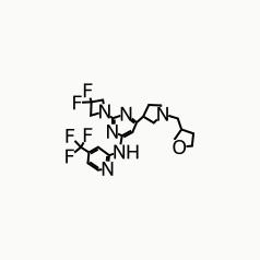 FC1(F)CN(c2nc(Nc3cc(C(F)(F)F)ccn3)cc(C3CCN(CC4CCOC4)C3)n2)C1